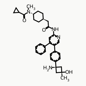 CN(C(=O)C1CC1)[C@H]1CC[C@H](CC(=O)Nc2cc(-c3ccccc3)c(-c3ccc([C@]4(N)C[C@](C)(O)C4)cc3)cn2)CC1